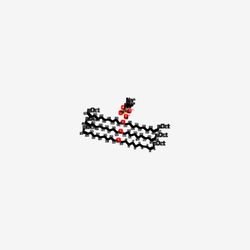 CCCCCCCC/C=C\CCCCCCCCOCCCCCCCC/C=C\CCCCCCCC.CCCCCCCC/C=C\CCCCCCCCOCCCCCCCC/C=C\CCCCCCCC.CCCCCCCC/C=C\CCCCCCCCOCCCCCCCC/C=C\CCCCCCCC.O=P([O-])([O-])[O-].[Na+].[Na+].[Na+]